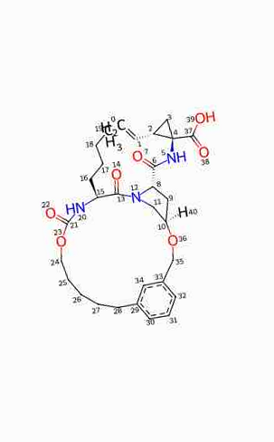 C=C[C@@H]1C[C@]1(NC(=O)[C@@H]1C[C@@H]2CN1C(=O)[C@H](CCCC)NC(=O)OCCCCCc1cccc(c1)CO2)C(=O)O